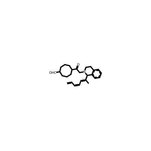 C=C/C=C\C=C(/C)C1c2ccccc2CCN1CC(=O)C1CCCC(C=O)CCC1